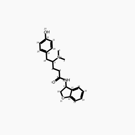 CN(C)C(CCC(=O)NC1COc2ccccc21)Cc1ccc(O)cc1